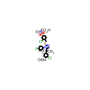 CCN(C(=O)O)S(=O)(=O)c1ccc(CSc2ncc(C(C)(C)c3ccc(OC)c(Cl)c3)n2-c2ccc(F)cc2)c(Cl)c1